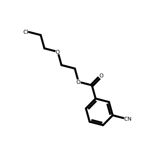 N#Cc1cccc(C(=O)OCCOCCCl)c1